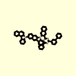 c1ccc(-c2cccc(-c3nc(-c4ccccc4)nc(-c4cc5ccccc5cc4-n4c5ccccc5c5cc6cc(-n7c8ccccc8c8c9ccccc9ccc87)ccc6cc54)n3)c2)cc1